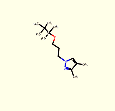 Cc1cn(CCCO[Si](C)(C)C(C)(C)C)nc1C